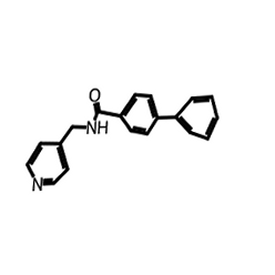 O=C(NCc1ccncc1)c1ccc(-c2ccccc2)cc1